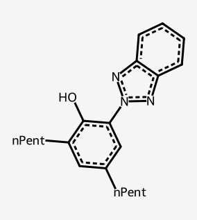 CCCCCc1cc(CCCCC)c(O)c(-n2nc3ccccc3n2)c1